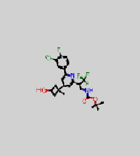 CC(C)(C)OC(=O)NCC(c1cc(C2(C)CC(O)C2)cc(-c2ccc(F)c(Cl)c2)n1)C(F)(F)F